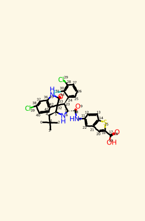 CC(C)(C)C[C@@H]1N[C@@H](C(=O)Nc2ccc3sc(C(=O)O)cc3c2)[C@H](c2cccc(Cl)c2F)C12C(=O)Nc1cc(Cl)ccc12